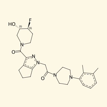 Cc1cccc(N2CCN(C(=O)Cn3nc(C(=O)N4CC[C@H](F)[C@@H](O)C4)c4c3CCC4)CC2)c1C